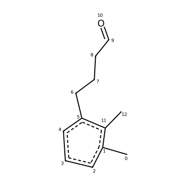 Cc1cccc(CCCC=O)c1C